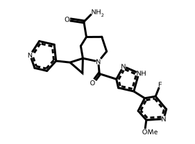 COc1cc(-c2cc(C(=O)N3CCC(C(N)=O)CC34CC4c3ccncc3)n[nH]2)c(F)cn1